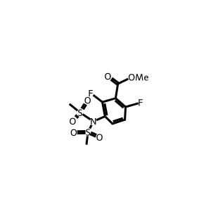 COC(=O)c1c(F)ccc(N(S(C)(=O)=O)S(C)(=O)=O)c1F